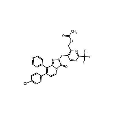 CC(=O)OCc1nc(C(F)(F)F)ccc1Cn1nc2c(-c3ccncc3)c(-c3ccc(Cl)cc3)ccn2c1=O